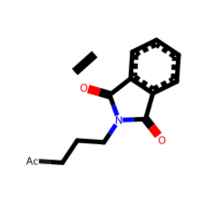 C=C.CC(=O)CCCN1C(=O)c2ccccc2C1=O